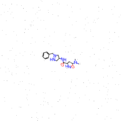 CN(C)C1CC(C(=O)NC2CNN(Cc3ccccc3)C2)NO1